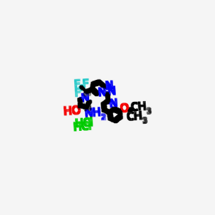 CC(C)Oc1cccc2ccc(-c3nnc4ccc([C@@H](N5C[C@@H](N)[C@H](O)C5)C(F)(F)F)cn34)nc12.Cl.Cl